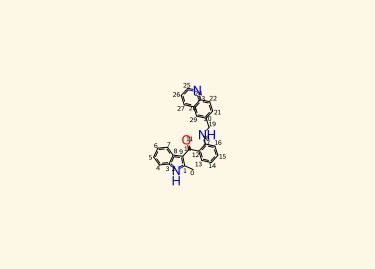 Cc1[nH]c2ccccc2c1C(=O)c1ccccc1NCc1ccc2ncccc2c1